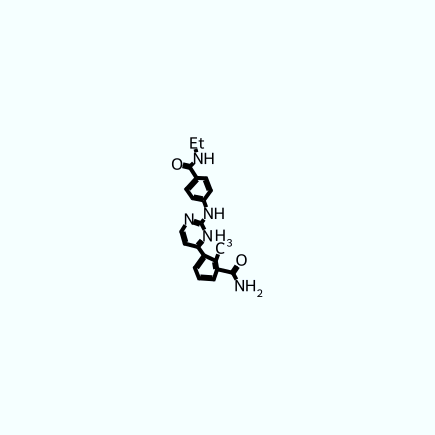 CCNC(=O)c1ccc(Nc2nccc(-c3cccc(C(N)=O)c3C)n2)cc1